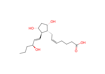 CCC[C@H](O)/C=C/[C@@H]1[C@@H](C/C=C\CCCC(=O)O)[C@@H](O)C[C@H]1O